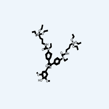 CCO[Si](CCCNC(=O)N(CC)c1ccc(-c2nc(-c3cc(OC)c(O)c(OC)c3)oc2-c2ccc(N(CC)C(=O)NCCC[Si](OCC)(OCC)OCC)cc2)cc1)(OCC)OCC